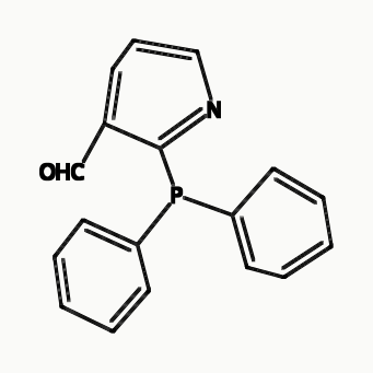 O=Cc1cccnc1P(c1ccccc1)c1ccccc1